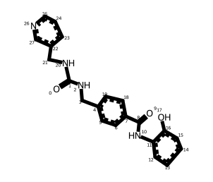 O=C(NCc1ccc(C(=O)Nc2ccccc2O)cc1)NCc1cccnc1